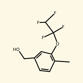 Cc1ccc(CO)cc1OC(F)(F)C(F)F